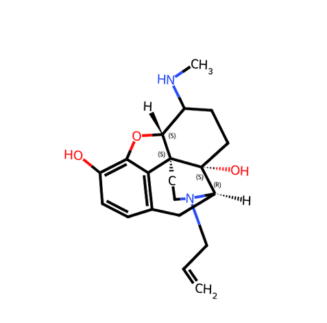 C=CCN1CC[C@]23c4c5ccc(O)c4O[C@@H]2C(NC)CC[C@@]3(O)[C@H]1C5